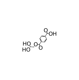 O=C(O)c1ccc(C(=O)OCC(O)O)cc1